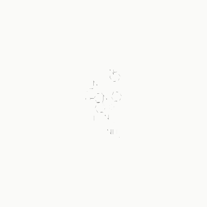 CN(CCc1ccccn1)C(=O)c1cn2c3c(c(N4CCC(N)C4)c(F)cc3c1=O)Oc1ccccc1-2